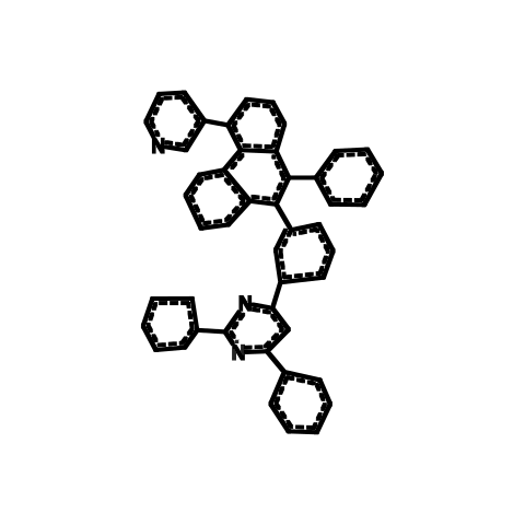 c1ccc(-c2cc(-c3cccc(-c4c(-c5ccccc5)c5cccc(-c6cccnc6)c5c5ccccc45)c3)nc(-c3ccccc3)n2)cc1